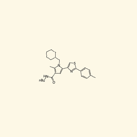 CCCCNC(=O)c1cc(-c2csc(-c3ccc(C)cc3)n2)n(CC2CCCCC2)c1C